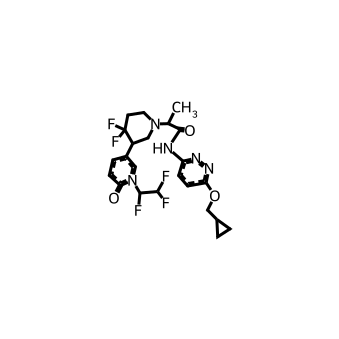 CC(C(=O)Nc1ccc(OCC2CC2)nn1)N1CCC(F)(F)C(c2ccc(=O)n(C(F)C(F)F)c2)C1